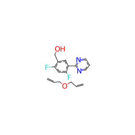 C=CCOCC=C.OCc1cc(-c2ncccn2)c(F)cc1F